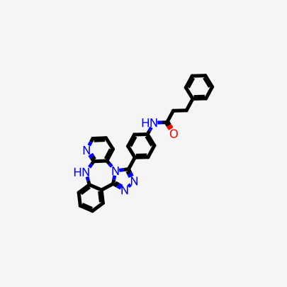 O=C(CCc1ccccc1)Nc1ccc(-c2nnc3n2-c2cccnc2Nc2ccccc2-3)cc1